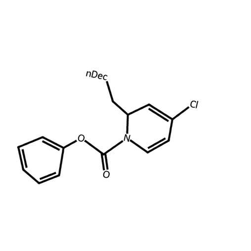 CCCCCCCCCCCC1C=C(Cl)C=CN1C(=O)Oc1ccccc1